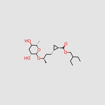 CCC(CC)COC(=O)[C@@H]1C[C@H]1CC[C@@H](C)O[C@@H]1O[C@@H](C)[C@H](O)C[C@H]1O